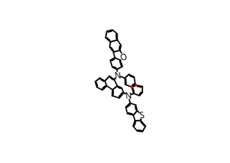 c1ccc(N(c2ccc3c(c2)sc2ccccc23)c2ccc3c(c2)c(N(c2ccccc2)c2ccc4c(c2)oc2cc5ccccc5cc24)cc2ccccc23)cc1